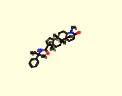 CN1C(=O)CC[C@@]2(C)C1CC[C@@H]1[C@H]2CC[C@]2(C)C(C(=O)NC(C)(C)c3ccccc3)CC[C@@H]12